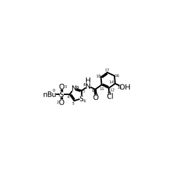 CCCCS(=O)(=O)c1csc(NC(=O)C2=C(Cl)C(O)CC=C2)n1